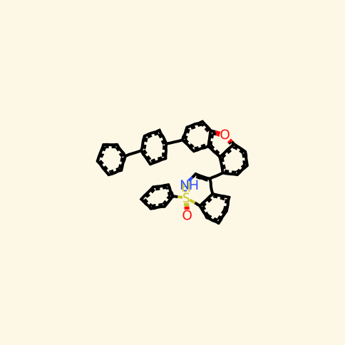 O=[SH]1(c2ccccc2)NC=C(c2cccc3oc4ccc(-c5ccc(-c6ccccc6)cc5)cc4c23)c2ccccc21